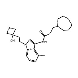 Cc1cccc2c1c(NC(=O)CCC1CCCCCC1)cn2CCC1(O)COC1